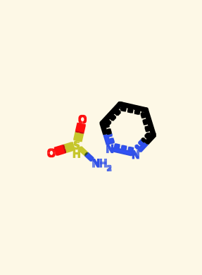 N[SH](=O)=O.c1ccnnc1